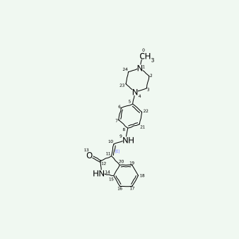 CN1CCN(c2ccc(N/C=C3/C(=O)Nc4ccccc43)cc2)CC1